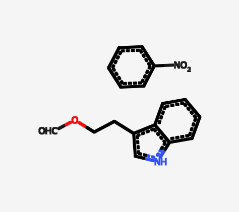 O=COCCc1c[nH]c2ccccc12.O=[N+]([O-])c1ccccc1